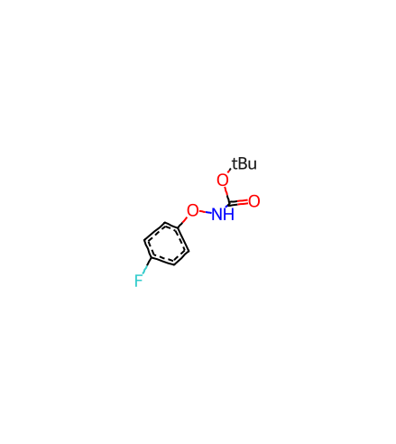 CC(C)(C)OC(=O)NOc1ccc(F)cc1